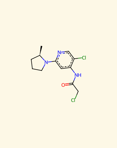 C[C@@H]1CCCN1c1cc(NC(=O)CCl)c(Cl)cn1